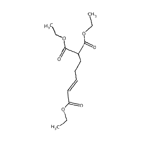 CCOC(=O)/C=C/CCC(C(=O)OCC)C(=O)OCC